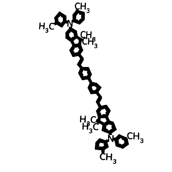 Cc1cccc(N(c2cccc(C)c2)c2ccc3c(c2)C(C)(C)c2cc(/C=C/c4ccc(-c5ccc(/C=C/c6ccc7c(c6)C(C)(C)c6cc(N(c8cccc(C)c8)c8cccc(C)c8)ccc6-7)cc5)cc4)ccc2-3)c1